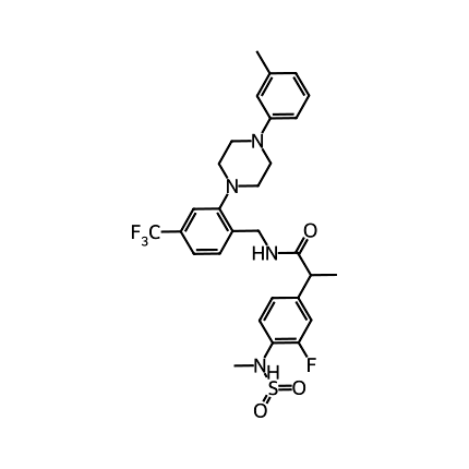 Cc1cccc(N2CCN(c3cc(C(F)(F)F)ccc3CNC(=O)C(C)c3ccc(N(C)[SH](=O)=O)c(F)c3)CC2)c1